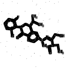 CCN(C=O)/C(CO)=N\N(C)c1ccc2c(c1)C(C(C)C)CN(c1c(F)cccc1Cl)C2=O